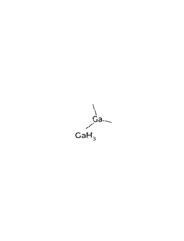 [CH3][Ga]([CH3])[CH3].[GaH3]